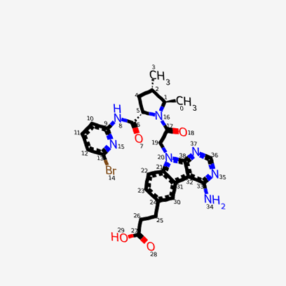 C[C@@H]1[C@@H](C)C[C@@H](C(=O)Nc2cccc(Br)n2)N1C(=O)Cn1c2ccc(CCC(=O)O)cc2c2c(N)ncnc21